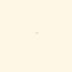 [2H]c1ccc(NC(=O)c2ccc(N(C)C)cc2)c2c1OCO2